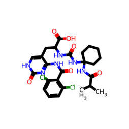 CC(C)C(=O)NC1(NC(=O)NC(Cc2c[nH]c(=O)nc2NC(=O)c2c(Cl)cccc2Cl)C(=O)O)CCCCC1